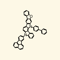 c1ccc(-c2ccc(-n3c4cc5oc6ccccc6c5cc4c4ccc5c(c6ccccc6n5-c5ccc6c(c5)-c5cccc7cccc-6c57)c43)cc2)cc1